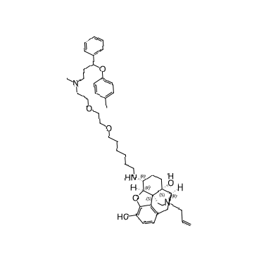 C=CCN1CC[C@]23c4c5ccc(O)c4O[C@H]2[C@H](NCCCCCCOCCOCCN(C)CCC(Oc2ccc(C)cc2)c2ccccc2)CC[C@@]3(O)[C@H]1C5